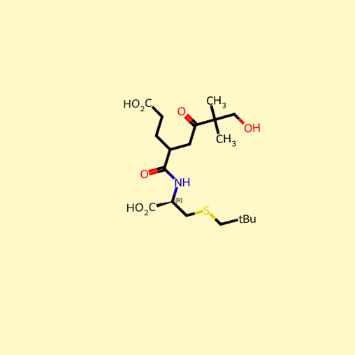 CC(C)(C)CSC[C@H](NC(=O)C(CCC(=O)O)CC(=O)C(C)(C)CO)C(=O)O